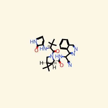 CC(C)(C)[C@H](Nc1ccc[nH]c1=O)C(=O)N1C[C@H]2[C@@H]([C@H]1C(=O)NC(C#N)c1nncc3ccccc13)C2(C)C